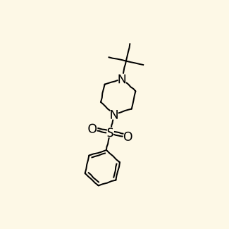 CC(C)(C)N1CCN(S(=O)(=O)c2ccccc2)CC1